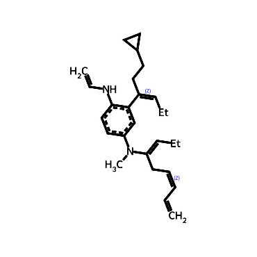 C=C/C=C\CC(=CCC)N(C)c1ccc(NC=C)c(/C(=C\CC)CCC2CC2)c1